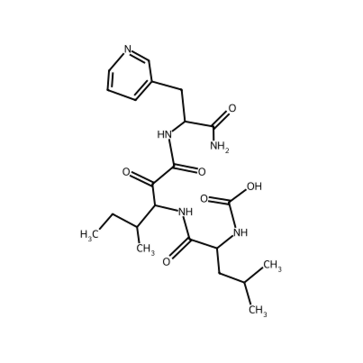 CCC(C)C(NC(=O)C(CC(C)C)NC(=O)O)C(=O)C(=O)NC(Cc1cccnc1)C(N)=O